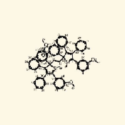 COc1cccc(C2=[Si](C)C(CCC3(c4cccc(OC)c4)C(c4ccccc4)=C(c4ccccc4)C(c4cccc(OC)c4)=[Si]3C)(c3cccc(OC)c3)C(c3ccccc3)=C2c2ccccc2)c1